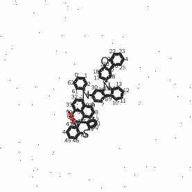 c1ccc(N(c2ccc3c4ccccc4n(-c4ccc5oc6ccccc6c5c4)c3c2)c2ccc3c4c(cccc24)C2(c4ccccc4Sc4ccccc42)c2ccccc2-3)cc1